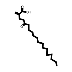 C=C(CCC(=O)CCCCCCCCCCCCCC)C(=O)O